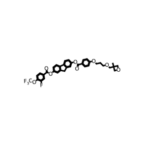 CC1(COCCCOc2ccc(C(=O)Oc3ccc4c(c3)Cc3cc(OC(=O)c5ccc(OC(F)(F)F)c(F)c5)ccc3-4)cc2)COC1